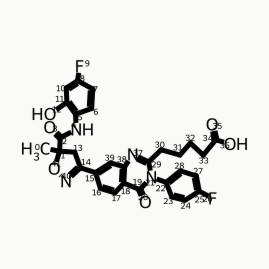 CC1(C(=O)Nc2ccc(F)cc2O)CC(c2ccc3c(=O)n(-c4ccc(F)cc4)c(CCCCC(=O)O)nc3c2)=NO1